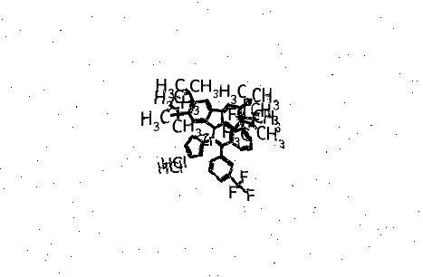 CC(C)(C)c1cc2c(cc1C(C)(C)C)[CH]([Zr]([C]1=CC=CC1)=[C](c1cccc(C(F)(F)F)c1)c1cccc(C(F)(F)F)c1)c1cc(C(C)(C)C)c(C(C)(C)C)cc1-2.Cl.Cl